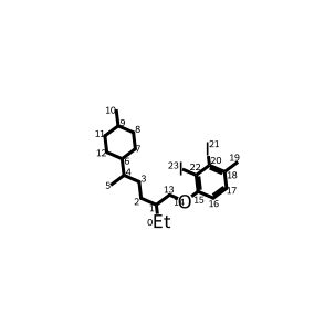 CCC(CCC(C)C1CCC(C)CC1)COc1ccc(C)c(I)c1I